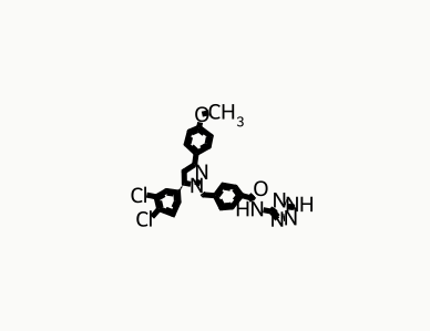 COc1ccc(C2=NN(Cc3ccc(C(=O)Nc4nn[nH]n4)cc3)[C@H](c3ccc(Cl)c(Cl)c3)C2)cc1